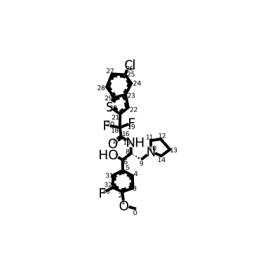 COc1ccc(C(O)[C@@H](CN2CCCC2)NC(=O)C(F)(F)c2cc3cc(Cl)ccc3s2)cc1F